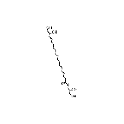 O=C(CCCCCCCCCCCCCCCCC(O)CO)OCC(O)CO